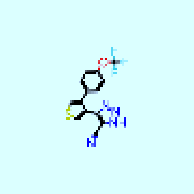 N#Cc1[nH]nnc1-c1cscc1-c1ccc(OC(F)(F)F)cc1